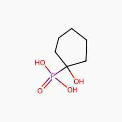 O=P(O)(O)C1(O)CCCCC1